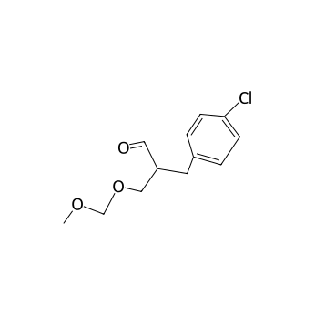 COCOCC(C=O)Cc1ccc(Cl)cc1